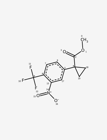 COC(=O)C1(c2ccc(C(F)(F)F)c([N+](=O)[O-])c2)CC1